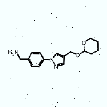 NCc1ccc(-n2cc(COC3CCCCO3)cn2)cc1